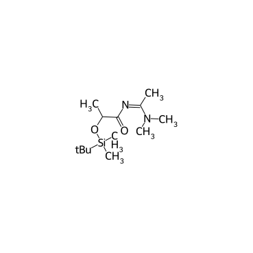 CC(=NC(=O)C(C)O[Si](C)(C)C(C)(C)C)N(C)C